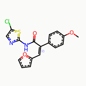 COc1ccc(/C(=C/c2ccco2)C(=O)Nc2ncc(Cl)s2)cc1